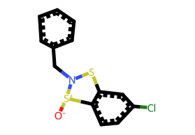 [O-][S+]1c2ccc(Cl)cc2SN1Cc1ccccc1